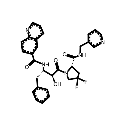 O=C(N[C@@H](Cc1ccccc1)[C@H](O)C(=O)N1CC(F)(F)C[C@H]1C(=O)NCc1cccnc1)c1ccc2ncccc2c1